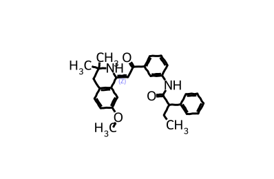 CCC(C(=O)Nc1cccc(C(=O)/C=C2\NC(C)(C)Cc3ccc(OC)cc32)c1)c1ccccc1